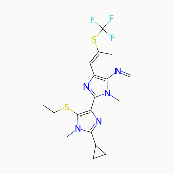 C=Nc1c(/C=C(\C)SC(F)(F)F)nc(-c2nc(C3CC3)n(C)c2SCC)n1C